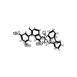 Cc1ccc2c(c1-c1cc(C(C)(C)C)cc(C(C)(C)C)c1)C=C(C(C)(C)C)[CH]2[Zr]([Cl])([Cl])[c]1cccc2c1[SiH2]c1ccccc1-2